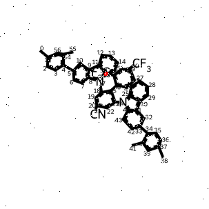 Cc1ccc(-c2ccc3c(c2)c2ccccc2n3-c2cc(C#N)cc(-n3c4ccccc4c4cc(-c5ccc(C)cc5C)ccc43)c2-c2ccc(C(F)(F)F)cc2C(F)(F)F)c(C)c1